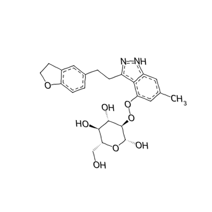 Cc1cc(OO[C@@H]2[C@@H](O)[C@H](O)[C@@H](CO)O[C@H]2O)c2c(CCc3ccc4c(c3)CCO4)n[nH]c2c1